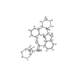 CN1C2CCCC1C(NC(=O)c1cccc3oc(N4CCOCC4c4ccccc4)nc13)C2